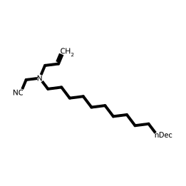 C=CCN(CC#N)CCCCCCCCCCCCCCCCCCCC